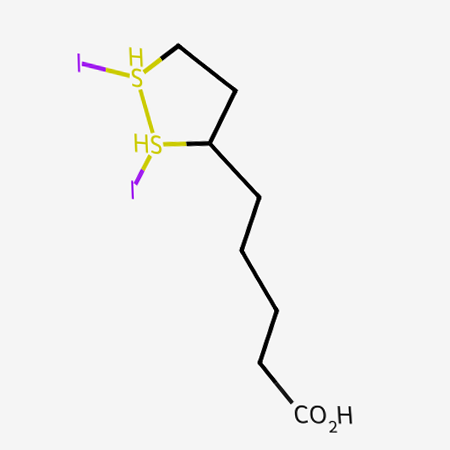 O=C(O)CCCCC1CC[SH](I)[SH]1I